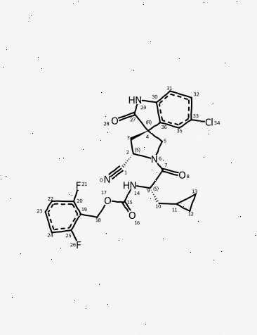 N#C[C@@H]1C[C@@]2(CN1C(=O)[C@H](CC1CC1)NC(=O)OCc1c(F)cccc1F)C(=O)Nc1ccc(Cl)cc12